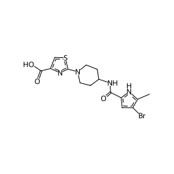 Cc1[nH]c(C(=O)NC2CCN(c3nc(C(=O)O)cs3)CC2)cc1Br